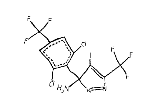 NC1(c2c(Cl)cc(C(F)(F)F)cc2Cl)N=NC(C(F)(F)F)=C1I